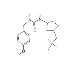 COc1ccc(CN(C)C(=O)NC2CCC(CC(C)(C)C)C2)cc1